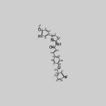 COc1ccc(-c2csc(NC(=O)C=Cc3ccc(OCc4cccc(F)c4)cc3)n2)cc1F